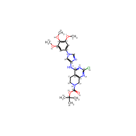 COc1cc(-n2cnc(Nc3nc(Cl)nc4c3CCN(C(=O)OC(C)(C)C)C4)c2)cc(OC)c1OC